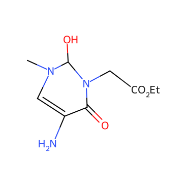 CCOC(=O)CN1C(=O)C(N)=CN(C)C1O